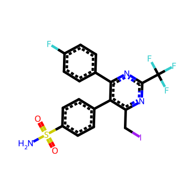 NS(=O)(=O)c1ccc(-c2c(CI)nc(C(F)(F)F)nc2-c2ccc(F)cc2)cc1